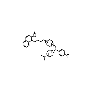 COc1ccc2ccccc2c1CCCCN1CCN(C[C@@H](c2ccc(F)cc2)N2CCN(C(C)C)CC2)CC1